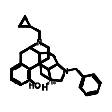 Oc1cccc2c1C13CCN(CC4CC4)C(C2)C12CCC1C3[C@@H](CN1Cc1ccccc1)C2